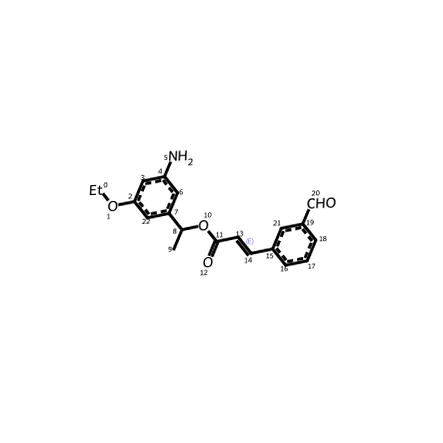 CCOc1cc(N)cc(C(C)OC(=O)/C=C/c2cccc(C=O)c2)c1